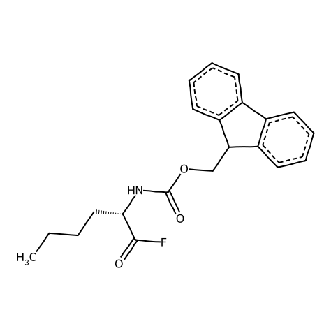 CCCC[C@H](NC(=O)OCC1c2ccccc2-c2ccccc21)C(=O)F